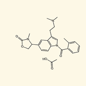 CC(=O)O.Cc1ccccc1C(=O)n1cc(CCN(C)C)c2cc(C3COC(=O)N3C)ccc21